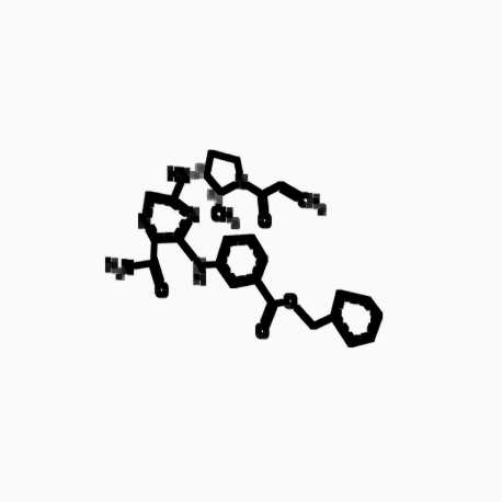 C=CC(=O)N1CC[C@@H](Nc2cnc(C(N)=O)c(Nc3cccc(C(=O)OCc4ccccc4)c3)n2)[C@H]1C